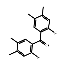 Cc1cc(F)c(C(=O)c2cc(C)c(C)cc2F)cc1C